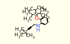 CC(C)[Si](Oc1ccccc1NCC#C[Si](C)(C)C)(C(C)C)C(C)C